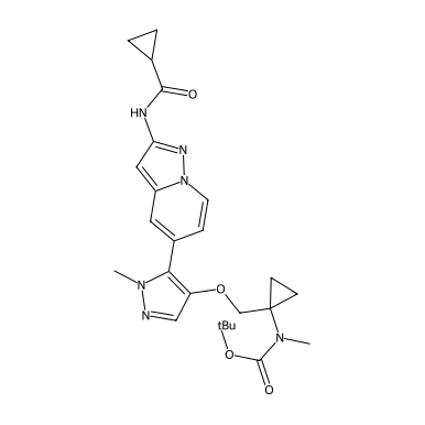 CN(C(=O)OC(C)(C)C)C1(COc2cnn(C)c2-c2ccn3nc(NC(=O)C4CC4)cc3c2)CC1